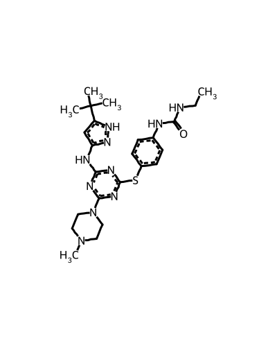 CCNC(=O)Nc1ccc(Sc2nc(Nc3cc(C(C)(C)C)[nH]n3)nc(N3CCN(C)CC3)n2)cc1